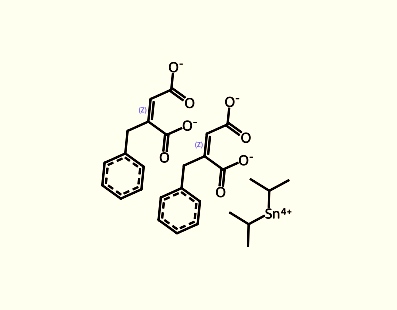 C[CH](C)[Sn+4][CH](C)C.O=C([O-])/C=C(/Cc1ccccc1)C(=O)[O-].O=C([O-])/C=C(/Cc1ccccc1)C(=O)[O-]